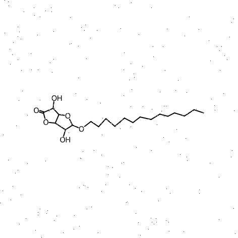 CCCCCCCCCCCCCCOC1OC2C(O)C(=O)OC2C1O